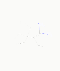 CCC(=C(N)N)C(CC)(CC)CC